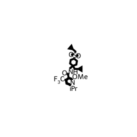 COc1nc(C(C)C)cc(C(F)(F)F)c1C(=O)NCC1(CC2CC2)CCC(S(=O)(=O)CC2CC2)CC1